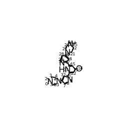 C[N+]1(C)CCN(c2ccnc(-c3cc(=O)cc(-c4cc(N5CC[N+](C)(C)CC5)ccn4)[nH]3)c2)CC1